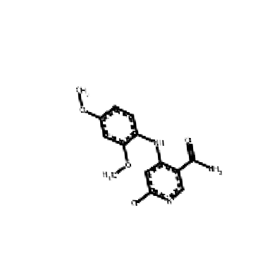 COc1ccc(Nc2cc(Cl)ncc2C(N)=O)c(OC)c1